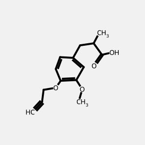 C#CCOc1ccc(CC(C)C(=O)O)cc1OC